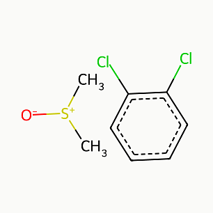 C[S+](C)[O-].Clc1ccccc1Cl